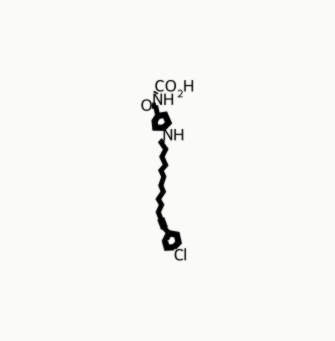 O=C(O)CNC(=O)c1ccc(NCCCCCCCCCCCC#Cc2ccc(Cl)cc2)cc1